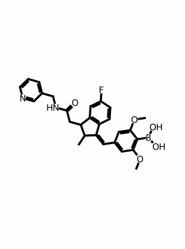 COc1cc(/C=C2\c3ccc(F)cc3C(CC(=O)NCc3cccnc3)C2C)cc(OC)c1B(O)O